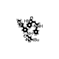 Cn1nc(C(C)(C)C)cc1C(=O)Nc1ccc(-c2cn3c(n2)SCC3)cc1.O=C1Nc2ccccc2C1=Cc1c[nH]c(-c2ccccc2)n1